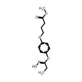 CCC(=NO)Oc1ccc(OCCCC(=O)OC)cc1